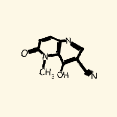 Cn1c(=O)ccc2ncc(C#N)c(O)c21